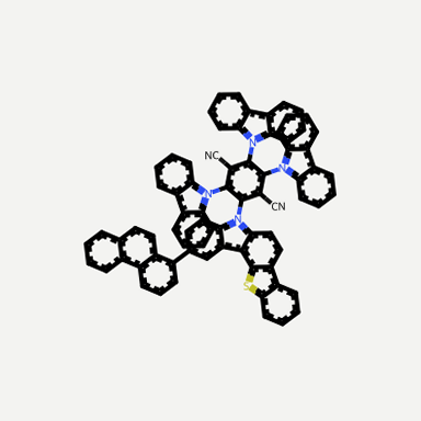 N#Cc1c(-n2c3ccccc3c3ccccc32)c(-n2c3ccccc3c3ccccc32)c(C#N)c(-n2c3ccc(-c4cccc5c4ccc4ccccc45)cc3c3c4sc5ccccc5c4ccc32)c1-n1c2ccccc2c2ccccc21